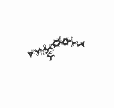 CC(C)CS(=O)(=O)C(C(=O)NCC(=O)NC1CC1)c1nc2cc(F)c(-c3ccc(NC(=O)OCC4CC4)cc3)cc2s1